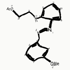 COc1cccc(N=Nc2ccccc2NCCOC(C)=O)c1